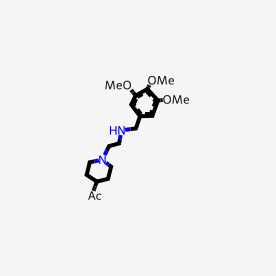 COc1cc(CNCCN2CCC(C(C)=O)CC2)cc(OC)c1OC